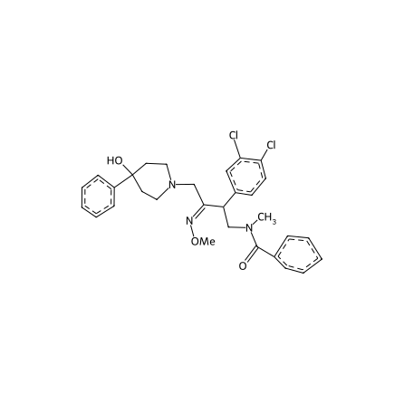 CON=C(CN1CCC(O)(c2ccccc2)CC1)C(CN(C)C(=O)c1ccccc1)c1ccc(Cl)c(Cl)c1